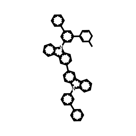 CC1C=C(c2cc(-c3ccccc3)cc(-n3c4ccccc4c4cc(-c5ccc6c(c5)c5ccccc5n6-c5cccc(-c6ccccc6)c5)ccc43)c2)C=CC1